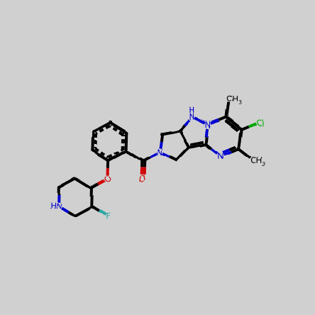 CC1=NC2=C3CN(C(=O)c4ccccc4OC4CCNCC4F)CC3NN2C(C)=C1Cl